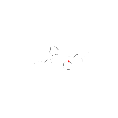 CC[Si](C=CC[SiH](C)C)(CC)O[Si](O[Si](C=C[Si](C)(C)C)(CC)CC)(c1ccccc1)c1ccccc1